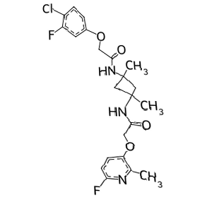 Cc1nc(F)ccc1OCC(=O)NC1(C)CC(C)(NC(=O)COc2ccc(Cl)c(F)c2)C1